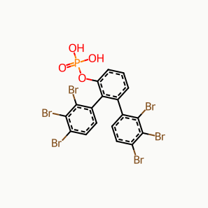 O=P(O)(O)Oc1cccc(-c2ccc(Br)c(Br)c2Br)c1-c1ccc(Br)c(Br)c1Br